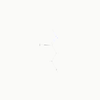 C/N=C(/CCC(C)C)C(C)C